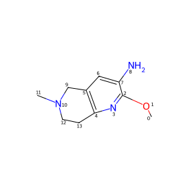 COc1nc2c(cc1N)CN(C)CC2